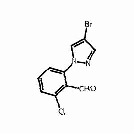 O=Cc1c(Cl)cccc1-n1cc(Br)cn1